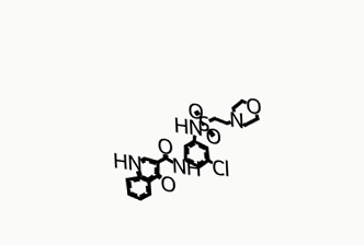 O=C(Nc1cc(Cl)cc(NS(=O)(=O)CCN2CCOCC2)c1)c1c[nH]c2ccccc2c1=O